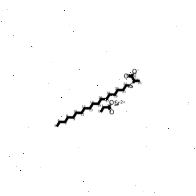 CCC(=O)[O-].CCCCCCCCCCCCCCCCCCSC(C)C(=O)[O-].[Sr+2]